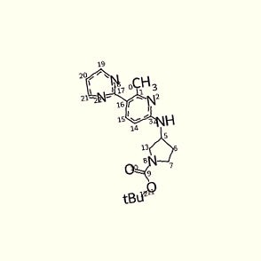 Cc1nc(NC2CCN(C(=O)OC(C)(C)C)C2)ccc1-c1ncccn1